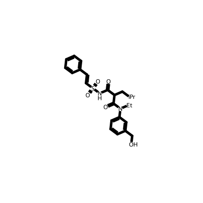 CCN(C(=O)C(CC(C)C)C(=O)NS(=O)(=O)C=Cc1ccccc1)c1cccc(CO)c1